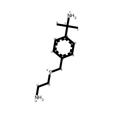 CC(C)(N)c1ccc(CSCCN)cc1